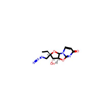 CC[C@@]1(CN=[N+]=[N-])OC2[C@@H](Oc3nc(=O)ccn32)[C@@H]1O